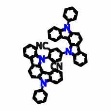 N#Cc1cc(-n2c3ccccc3c3ccc4c(c5ccccc5n4-c4ccccc4)c32)cc(C#N)c1-n1c2ccccc2c2ccc3c(c4ccccc4n3-c3ccccc3)c21